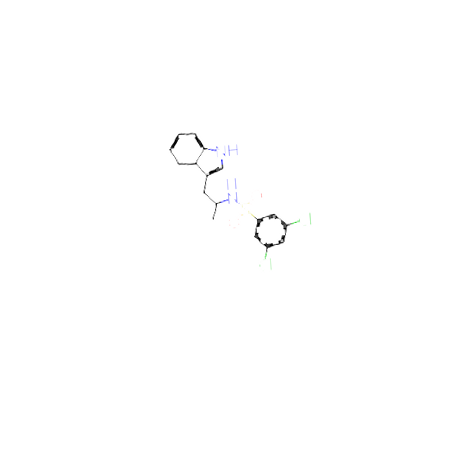 CC(CC1=CNC2=CC=CCC12)NS(=O)(=O)c1cc(Cl)cc(Cl)c1